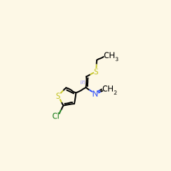 C=N/C(=C\SCC)c1csc(Cl)c1